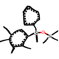 Cc1cc([Si](C)(O[Si](C)(C)C)c2ccccc2)c(C)c(C)c1C